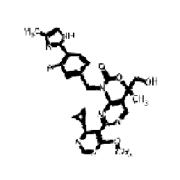 COc1ncnc(C2CC2)c1-c1ncc2c(n1)N(Cc1ccc(-c3nc(C)c[nH]3)c(F)c1)C(=O)OC2(C)CO